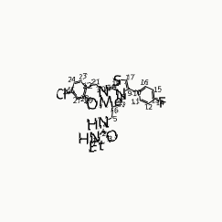 CCNC(=O)NCCCn1c(-c2ccc(F)cc2)cs/c1=N\Cc1ccc(Cl)cc1OC